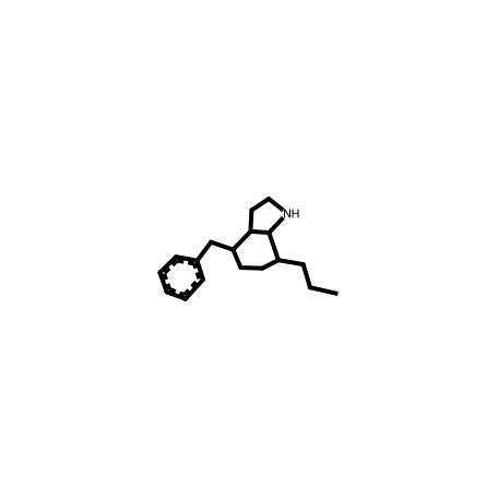 CCCC1CCC(Cc2ccccc2)C2CCNC12